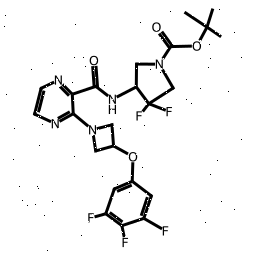 CC(C)(C)OC(=O)N1CC(NC(=O)c2nccnc2N2CC(Oc3cc(F)c(F)c(F)c3)C2)C(F)(F)C1